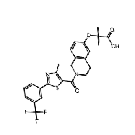 Cc1nc(-c2cccc(C(F)(F)F)c2)sc1C(=O)N1CCc2cc(OC(C)(C)C(=O)O)ccc2C1